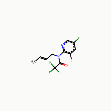 CC=CCN(C(=O)C(F)(F)F)c1ncc(F)cc1I